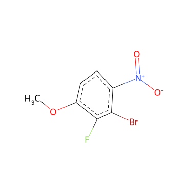 COc1ccc([N+](=O)[O-])c(Br)c1F